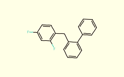 Fc1ccc(Cc2ccccc2-c2ccccc2)c(F)c1